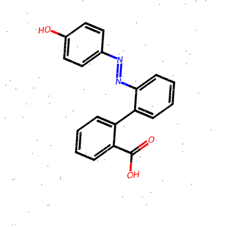 O=C(O)c1ccccc1-c1ccccc1N=Nc1ccc(O)cc1